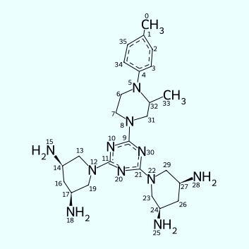 Cc1ccc(N2CCN(c3nc(N4C[C@H](N)C[C@H](N)C4)nc(N4C[C@H](N)C[C@H](N)C4)n3)CC2C)cc1